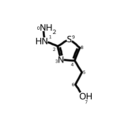 NNc1nc(CCO)cs1